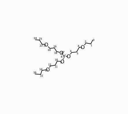 CCCOCCC[O][Y]([O]CCCOCCC)[O]CCCOCCC